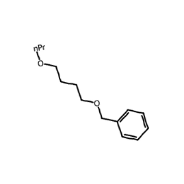 CCCOCCCCOCc1ccccc1